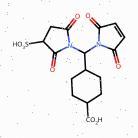 O=C(O)C1CCC(C(N2C(=O)C=CC2=O)N2C(=O)CC(S(=O)(=O)O)C2=O)CC1